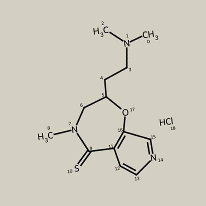 CN(C)CCC1CN(C)C(=S)c2ccncc2O1.Cl